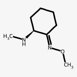 CN[C@H]1CCCC/C1=N\OC